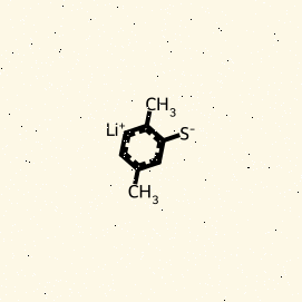 Cc1ccc(C)c([S-])c1.[Li+]